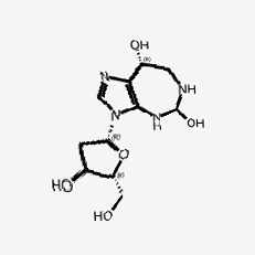 OC[C@H]1O[C@@H](n2cnc3c2NC(O)NC[C@H]3O)CC1O